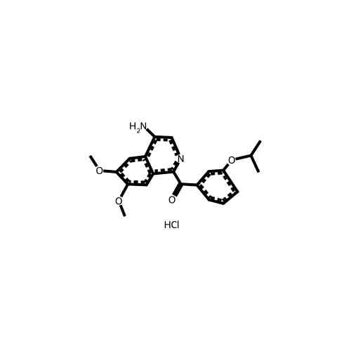 COc1cc2c(N)cnc(C(=O)c3cccc(OC(C)C)c3)c2cc1OC.Cl